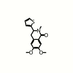 COc1cc2c(cc1OC)C(=O)N(C)C(c1cccs1)C2